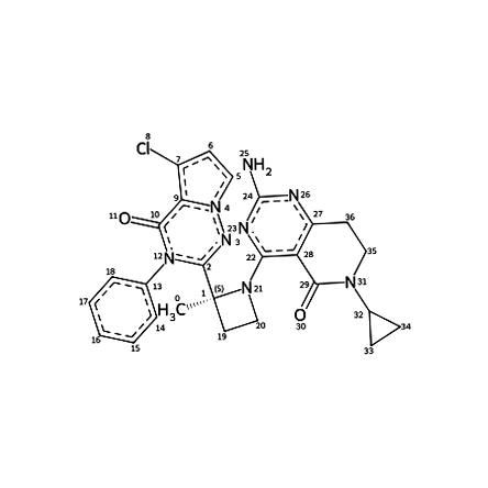 C[C@@]1(c2nn3ccc(Cl)c3c(=O)n2-c2ccccc2)CCN1c1nc(N)nc2c1C(=O)N(C1CC1)CC2